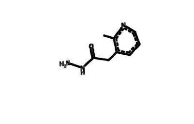 Cc1ncccc1CC(=O)NN